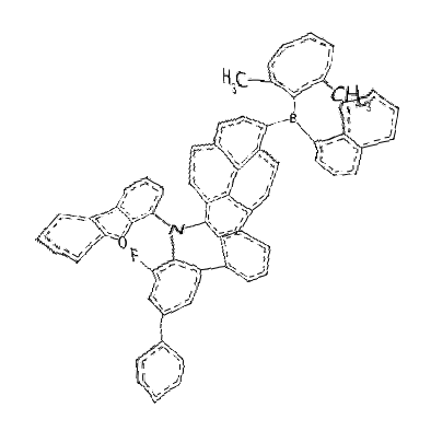 Cc1cccc(C)c1B(c1cccc2ccccc12)c1ccc2ccc3c(N(c4c(F)cc(-c5ccccc5)cc4-c4ccccc4)c4cccc5c4oc4ccccc45)ccc4ccc1c2c43